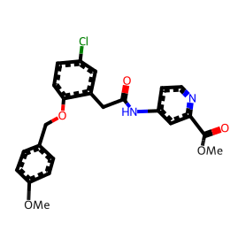 COC(=O)c1cc(NC(=O)Cc2cc(Cl)ccc2OCc2ccc(OC)cc2)ccn1